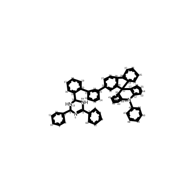 c1ccc(C2=NC(c3ccccc3)NC(c3ccccc3-c3cccc(-c4ccc5c(c4)C4(c6ccccc6-5)c5ccccc5N(c5ccccc5)c5ccccc54)c3)N2)cc1